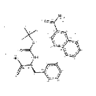 CC(C)(C)OC(=O)N[C@@H](Cc1ccccc1)C(=O)O.NC(=O)c1cnc2ccccc2c1